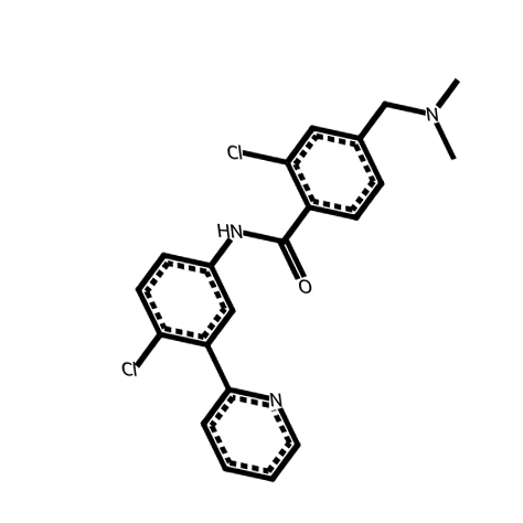 CN(C)Cc1ccc(C(=O)Nc2ccc(Cl)c(-c3ccccn3)c2)c(Cl)c1